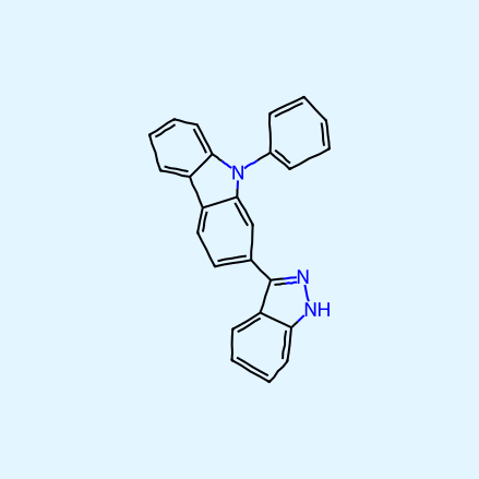 c1ccc(-n2c3ccccc3c3ccc(-c4n[nH]c5ccccc45)cc32)cc1